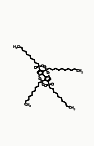 CCCCCCCCCCS(=O)(=O)c1csc(-c2scc(S(=O)(=O)CCCCCCCCCC)c2S(=O)(=O)CCCCCCCCCC)c1S(=O)(=O)CCCCCCCCCC